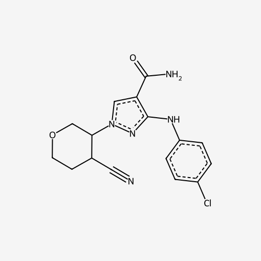 N#CC1CCOCC1n1cc(C(N)=O)c(Nc2ccc(Cl)cc2)n1